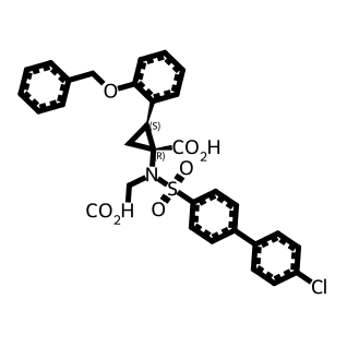 O=C(O)CN([C@]1(C(=O)O)C[C@H]1c1ccccc1OCc1ccccc1)S(=O)(=O)c1ccc(-c2ccc(Cl)cc2)cc1